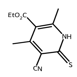 CCOC(=O)c1c(C)[nH]c(=S)c(C#N)c1C